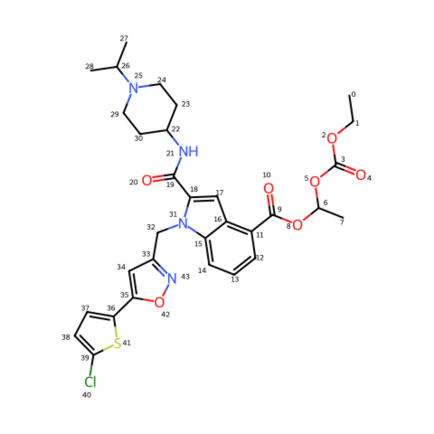 CCOC(=O)OC(C)OC(=O)c1cccc2c1cc(C(=O)NC1CCN(C(C)C)CC1)n2Cc1cc(-c2ccc(Cl)s2)on1